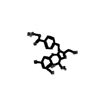 COC(=O)c1ccc(Cn2c(CO)nc(C(C)C)c2Sc2cc(Cl)cc(Cl)c2)cc1